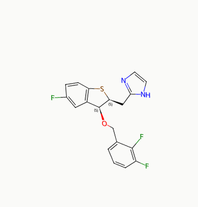 Fc1ccc2c(c1)[C@H](OCc1cccc(F)c1F)[C@H](Cc1ncc[nH]1)S2